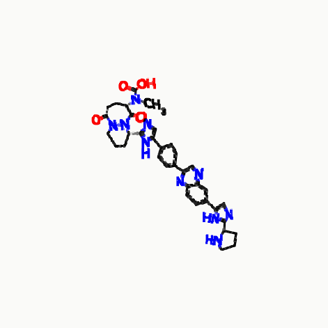 CN(C(=O)O)[C@H]1CCC(=O)N2CCC[C@@H](c3ncc(-c4ccc(-c5cnc6cc(-c7cnc(C8CCCN8)[nH]7)ccc6n5)cc4)[nH]3)N2C1=O